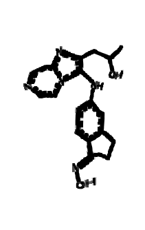 CC(O)Cc1nc2cnccn2c1Nc1ccc2c(c1)CCC2=NO